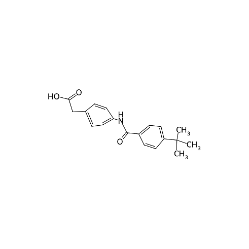 CC(C)(C)c1ccc(C(=O)Nc2ccc(CC(=O)O)cc2)cc1